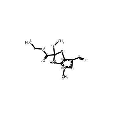 CCOC(=O)C1(SC)Nc2c(c(C=O)cn2C)S1